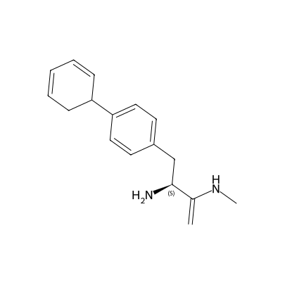 C=C(NC)[C@@H](N)Cc1ccc(C2C=CC=CC2)cc1